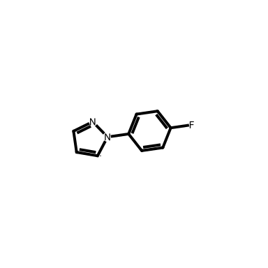 Fc1ccc(-n2[c]ccn2)cc1